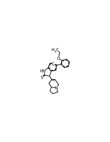 CCOc1ccccc1-c1ccc2c(c1)C(C1=CCN3CCCC3C1)C(=S)N2